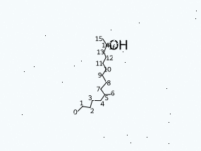 CCCCCC(C)CCCCCCCC(C)O